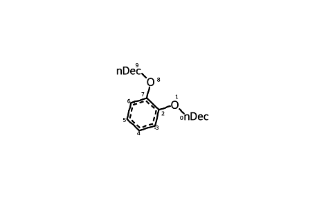 CCCCCCCCCCOc1[c]cc[c]c1OCCCCCCCCCC